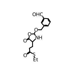 CCSC(=O)CCC1NC(OCc2cccc(C=O)c2)OC1=O